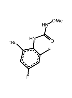 CONC(=O)Nc1c(F)cc(F)cc1C(C)(C)C